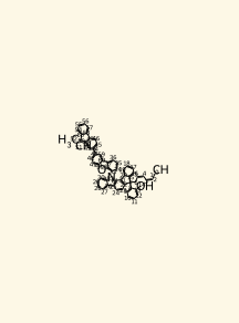 C#C/C=C\C=C/CC1(c2ccccc2O)c2ccccc2-c2c1ccc1c3ccccc3n(-c3cccc4c3oc3ccc(-c5ccc6c(c5)C(C)(C)c5ccccc5-6)cc34)c21